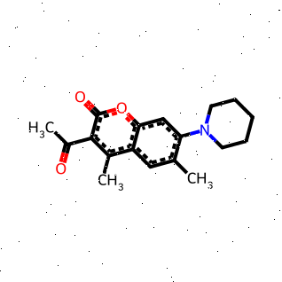 CC(=O)c1c(C)c2cc(C)c(N3CCCCC3)cc2oc1=O